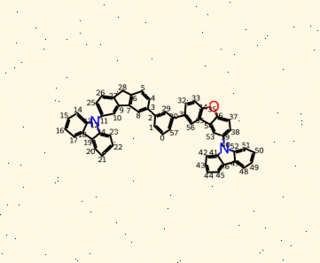 c1cc(-c2ccc3c(c2)-c2cc(-n4c5ccccc5c5ccccc54)ccc2C3)cc(-c2ccc3oc4ccc(-n5c6ccccc6c6ccccc65)cc4c3c2)c1